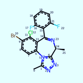 Cc1nnc2n1-c1ccc(Br)c(Cl)c1C(c1c(F)cccc1F)=N[C@H]2C